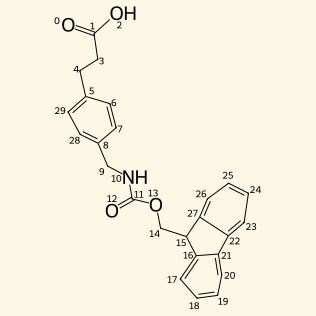 O=C(O)CCc1ccc(CNC(=O)OCC2c3ccccc3-c3ccccc32)cc1